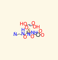 COc1ccc(C(=O)Nc2nc(C(=O)NCCCN(C)C)cs2)cc1OC.O=C(O)/C=C/C(=O)O